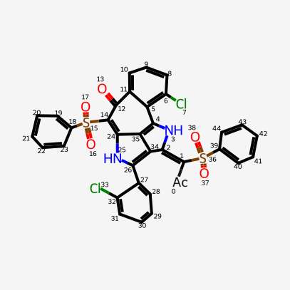 CC(=O)/C(=c1/[nH]c2c3c(Cl)cccc3c(=O)c(S(=O)(=O)c3ccccc3)c3[nH]c(-c4ccccc4Cl)c1c32)S(=O)(=O)c1ccccc1